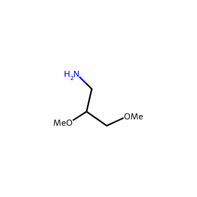 COCC(CN)OC